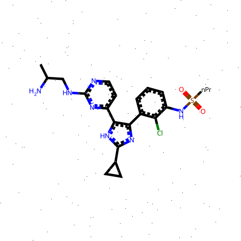 CCCS(=O)(=O)Nc1cccc(-c2nc(C3CC3)[nH]c2-c2ccnc(NCC(C)N)n2)c1Cl